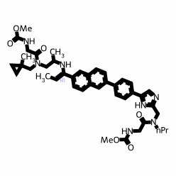 C/C=C(\NC(C)CN(CC1(C)CC1)C(=O)CNC(=O)OC)c1ccc2cc(-c3ccc(-c4cnc(CN(CCC)C(=O)CNC(=O)OC)[nH]4)cc3)ccc2c1